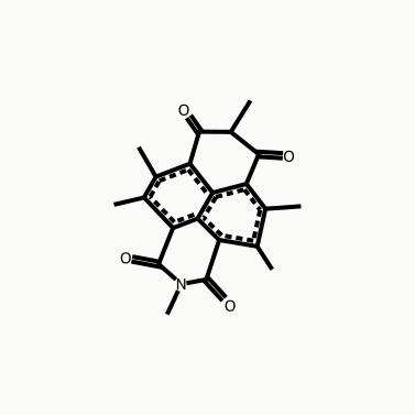 Cc1c(C)c2c3c(c(C)c(C)c4c3c1C(=O)C(C)C4=O)C(=O)N(C)C2=O